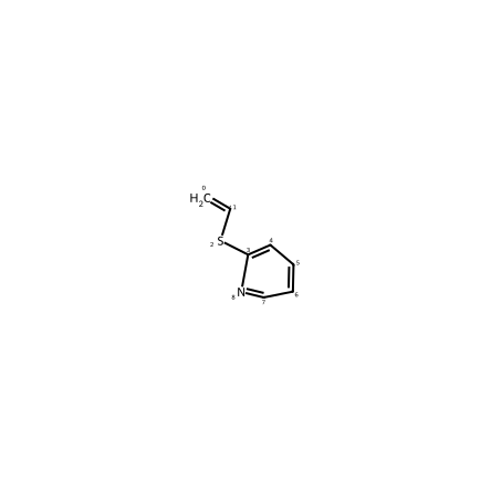 C=[C]Sc1ccccn1